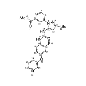 COC(=O)c1cccc(-n2nc(C(C)(C)C)cc2NC(=O)Nc2ccc(Oc3ccnc(C)c3)cc2F)c1